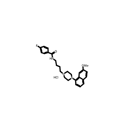 COc1ccc2cccc(N3CCN(CCCCNC(=O)c4ccc(F)cc4)CC3)c2c1.Cl